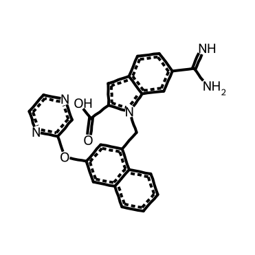 N=C(N)c1ccc2cc(C(=O)O)n(Cc3cc(Oc4cnccn4)cc4ccccc34)c2c1